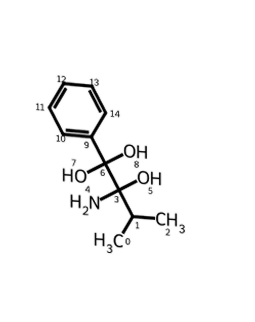 CC(C)C(N)(O)C(O)(O)c1ccccc1